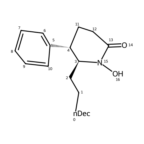 CCCCCCCCCCCC[C@H]1[C@H](c2ccccc2)CCC(=O)N1O